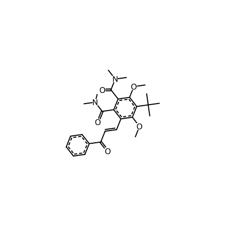 COc1c(C=CC(=O)c2ccccc2)c(C(=O)N(C)C)c(C(=O)N(C)C)c(OC)c1C(C)(C)C